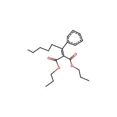 CCCCCC(=C(C(=O)OCCC)C(=O)OCCC)c1ccccc1